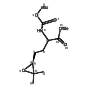 CCCCOC(=O)NC(CC[C@@H]1OC1(C)C)C(=O)OC